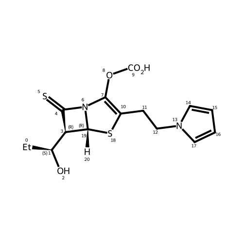 CC[C@H](O)[C@H]1C(=S)N2C(OC(=O)O)=C(CCn3cccc3)S[C@H]12